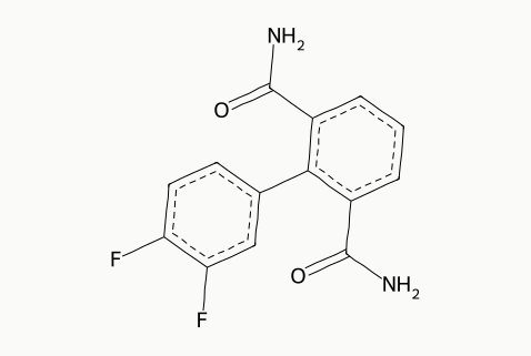 NC(=O)c1cccc(C(N)=O)c1-c1ccc(F)c(F)c1